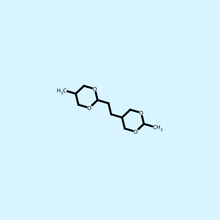 CC1COC(CCC2COC(C)OC2)OC1